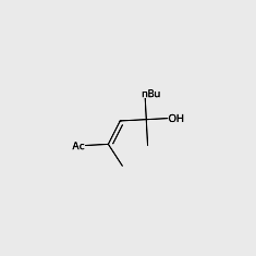 CCCCC(C)(O)C=C(C)C(C)=O